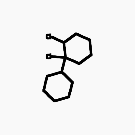 ClC1CCCCC1(Cl)C1CCCCC1